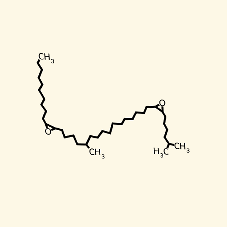 CCCCCCCCCCC1OC1CCCCC(C)CCCCCCCCCCCC1OC1CCCCC(C)C